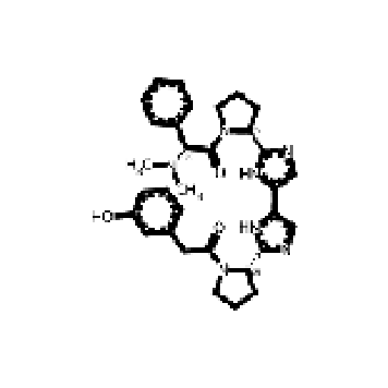 CN(C)[C@@H](C(=O)N1CCC[C@H]1c1ncc(-c2cnc([C@@H]3CCCN3C(=O)Cc3cccc(O)c3)[nH]2)[nH]1)c1ccccc1